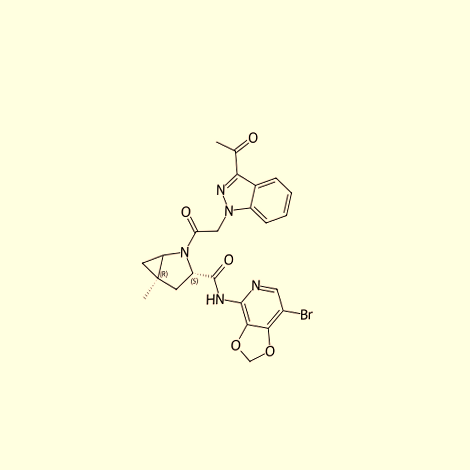 CC(=O)c1nn(CC(=O)N2C3C[C@]3(C)C[C@H]2C(=O)Nc2ncc(Br)c3c2OCO3)c2ccccc12